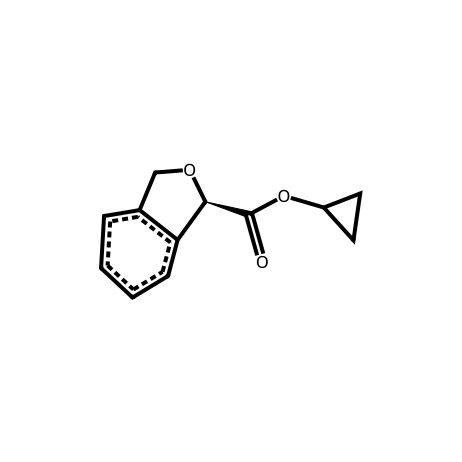 O=C(OC1CC1)[C@@H]1OCc2ccccc21